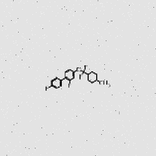 CC1CCC(C(F)(F)Oc2ccc(-c3ccc(F)cc3)c(F)c2)CC1